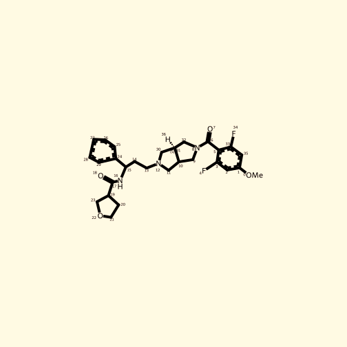 COc1cc(F)c(C(=O)N2CC3CN(CCC(NC(=O)C4CCOC4)c4ccccc4)C[C@H]3C2)c(F)c1